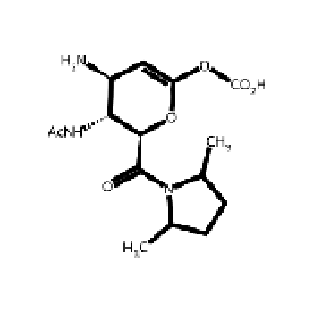 CC(=O)N[C@@H]1[C@@H](N)C=C(OC(=O)O)O[C@H]1C(=O)N1C(C)CCC1C